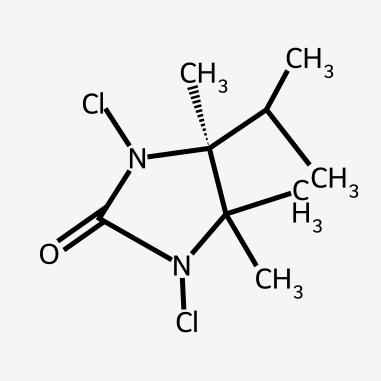 CC(C)[C@]1(C)N(Cl)C(=O)N(Cl)C1(C)C